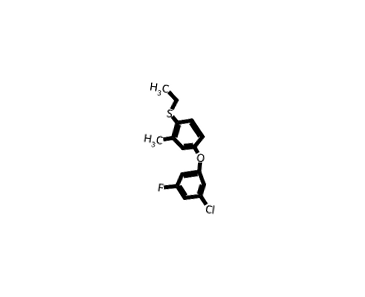 CCSc1ccc(Oc2cc(F)cc(Cl)c2)cc1C